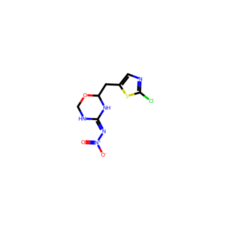 O=[N+]([O-])N=C1NCOC(Cc2cnc(Cl)s2)N1